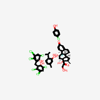 C[C@@H]1C[C@H]2[C@@H]3CCC4=CC(=O)C=C[C@]4(C)C3(F)[C@@H](O)C[C@]2(C)[C@@]1(O)C(=O)CO.Cc1ccc(C(C)C)c(O)c1.Oc1c(Cl)cc(Cl)c(Cl)c1Cc1c(O)c(Cl)cc(Cl)c1Cl.Oc1ccc(Cl)cc1